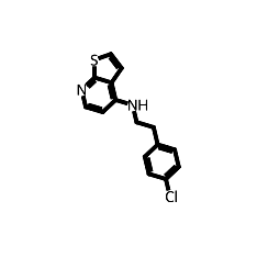 Clc1ccc(CCNc2ccnc3sccc23)cc1